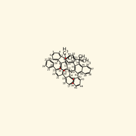 CC1(C)c2ccccc2-c2ccc(N(c3ccccc3-c3ccc(-c4ccccc4)cc3)c3c4c(c5ccccc5c3-c3ccccc3)C(C)(C)c3ccccc3-4)cc21